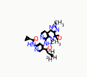 [2H]C([2H])([2H])CC(=O)c1cnc(NC(=O)C2CC2)cc1Nc1nccc2c1N(C)C1(COC1)c1nn(C)nc1-2